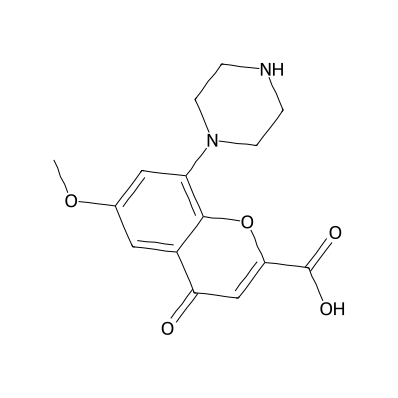 COc1cc(N2CCNCC2)c2oc(C(=O)O)cc(=O)c2c1